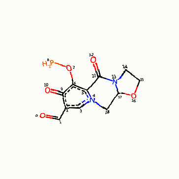 O=Cc1cn2c(c(OP)c1=O)C(=O)N1CCOC1C2